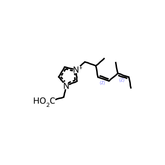 C/C=C(C)\C=C/C(C)C[n+]1ccn(CC(=O)O)c1